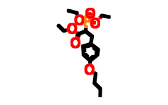 CCCCOc1ccc(CC(C(=O)OCC)P(=O)(OCC)OCC)cc1